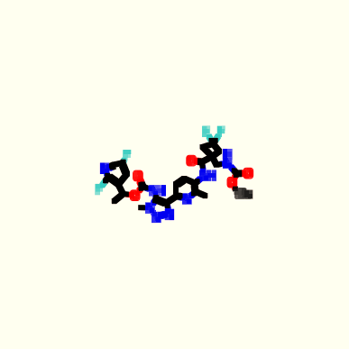 Cc1nc(-c2nnn(C)c2NC(=O)OC(C)c2cc(F)cnc2F)ccc1NC(=O)C1(CNC(=O)OC(C)(C)C)CC(F)(F)C1